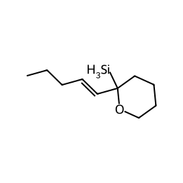 CCCC=CC1([SiH3])CCCCO1